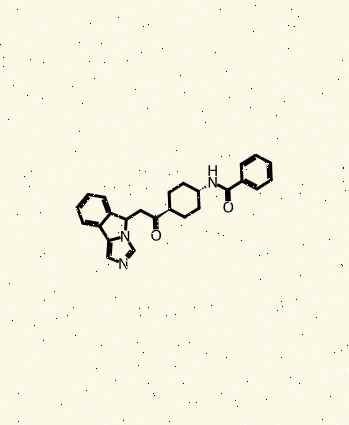 O=C(N[C@H]1CC[C@H](C(=O)CC2c3ccccc3-c3cncn32)CC1)c1ccccc1